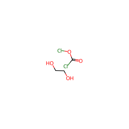 O=C(Cl)OCl.OCCO